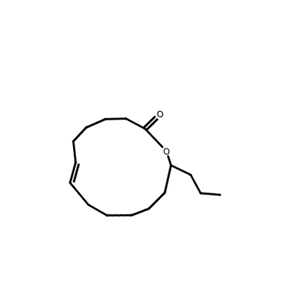 CCCC1CCCCC/C=C/CCCCC(=O)O1